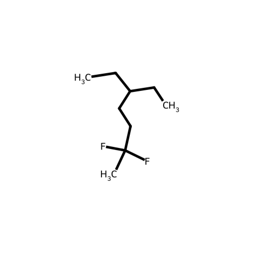 CCC(CC)CCC(C)(F)F